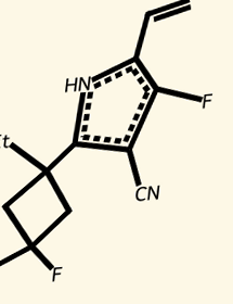 C=Cc1[nH]c(C2(CC)CC(C)(F)C2)c(C#N)c1F